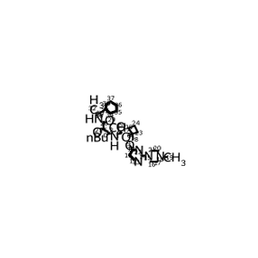 CCCCC(C)(NC(=O)OC1(COc2ccnc(N3CCN(C)CC3)n2)CCC1)C(=O)C(=O)N[C@H](C)c1ccccc1